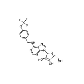 OC[C@H]1OC(n2cnc3c(NCc4ccc(OC(F)(F)F)cc4)ncnc32)[C@H](O)[C@@H]1O